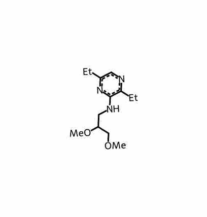 CCc1cnc(CC)c(NCC(COC)OC)n1